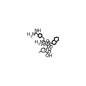 CC1CCN(C(=O)C(NC(=O)[C@@H](N)Cc2ccc(C(=N)N)cc2)S(=O)(=O)c2ccc3ccccc3c2)C(C(=O)O)C1